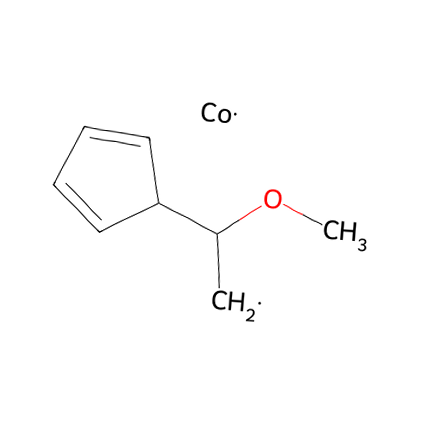 [CH2]C(OC)C1C=CC=C1.[Co]